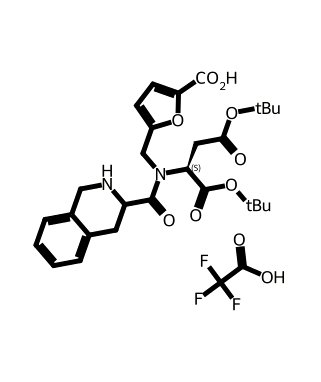 CC(C)(C)OC(=O)C[C@@H](C(=O)OC(C)(C)C)N(Cc1ccc(C(=O)O)o1)C(=O)C1Cc2ccccc2CN1.O=C(O)C(F)(F)F